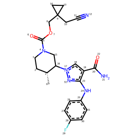 C[C@@H]1CCN(C(=O)OCC2(CC#N)CC2)CC1n1cc(C(N)=O)c(Nc2ccc(F)cc2)n1